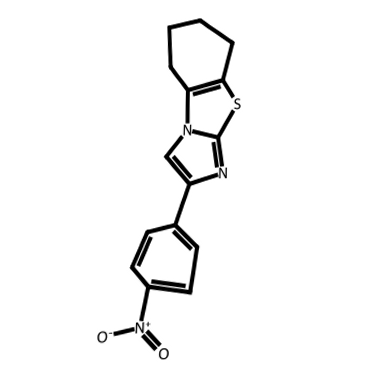 O=[N+]([O-])c1ccc(-c2cn3c4c(sc3n2)CCCC4)cc1